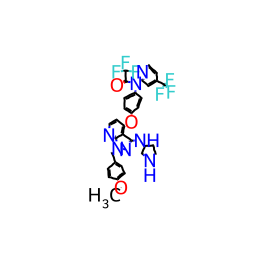 COc1ccc(Cn2nc(N[C@@H]3CCNC3)c3c(Oc4ccc(N(C(=O)C(F)(F)F)c5cc(C(F)(F)F)ccn5)cc4)ccnc32)cc1